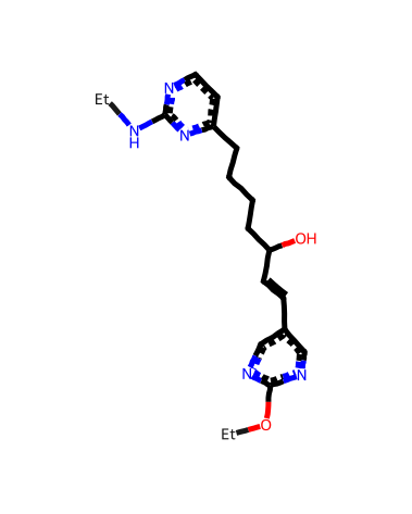 CCNc1nccc(CCCCC(O)C=Cc2cnc(OCC)nc2)n1